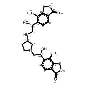 Cc1c([C@H](O)CN2CC[C@@H](NC[C@H](O)c3ccc4c(c3C)COC4=O)C2)ccc2c1COC2=O